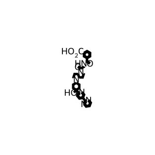 O=C(O)c1cccc(C(=O)NCC(=O)N2CCC3C2CCN3C2CCC(O)(c3ccc(-c4ncccn4)cn3)CC2)c1